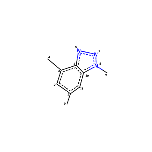 Cc1cc(C)c2nnn(C)c2c1